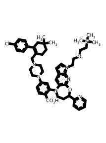 CC1(C)CCC(CN2CCN(c3ccc(C(=O)O)c(N4CCC(c5ccccn5)Oc5nc6c(ccn6CCOCC[Si](C)(C)C)cc54)c3)CC2)=C(c2ccc(Cl)cc2)C1